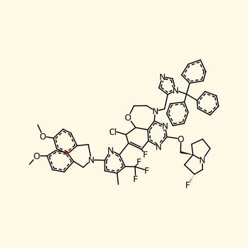 COc1ccc(CN(Cc2ccc(OC)cc2)c2cc(C)c(C(F)(F)F)c(C3=C(F)c4nc(OC[C@@]56CCCN5C[C@H](F)C6)nc5c4C(OCCN5Cc4cncn4C(c4ccccc4)(c4ccccc4)c4ccccc4)C3Cl)n2)cc1